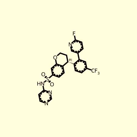 O=S(=O)(Nc1ccncn1)c1ccc2c(c1)OCC[C@@H]2c1ccc(C(F)(F)F)cc1-c1ccc(F)nc1